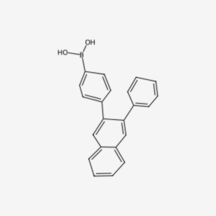 OB(O)c1ccc(-c2cc3ccccc3cc2-c2ccccc2)cc1